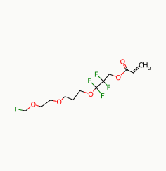 C=CC(=O)OCC(F)(F)C(F)(F)OCCCOCCOCF